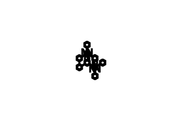 c1ccc(-c2nc(-c3ccccc3)nc(-c3cccc(-c4ccccc4-c4cccc(-c5nc(-c6ccccc6)nc(-c6ccccc6)n5)c4)c3)n2)cc1